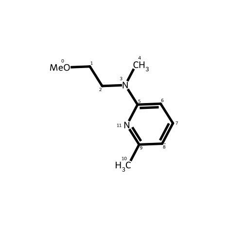 COCCN(C)c1cc[c]c(C)n1